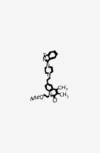 COCCn1c(=O)c(C)c(C)c2cc(CCN3CCN(c4nsc5ccccc45)CC3)ccc21